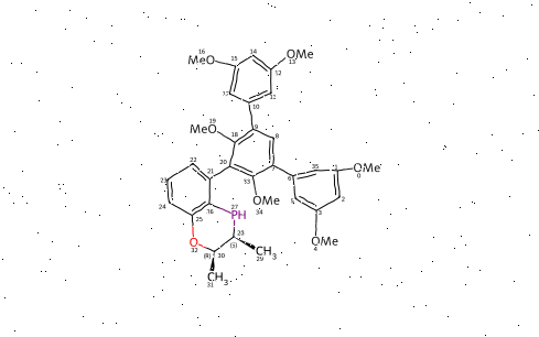 COc1cc(OC)cc(-c2cc(-c3cc(OC)cc(OC)c3)c(OC)c(-c3cccc4c3P[C@@H](C)[C@@H](C)O4)c2OC)c1